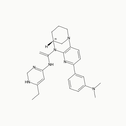 C=C(NC1=NCNC(CC)=C1)N1c2nc(-c3cccc(N(C)C)c3)ccc2N2CCC[C@@H]1C2